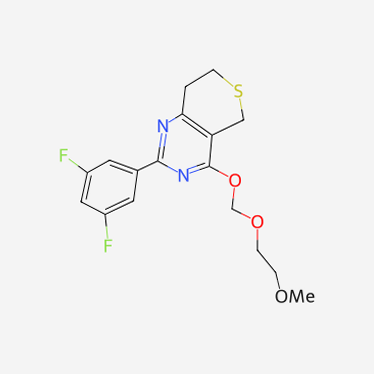 COCCOCOc1nc(-c2cc(F)cc(F)c2)nc2c1CSCC2